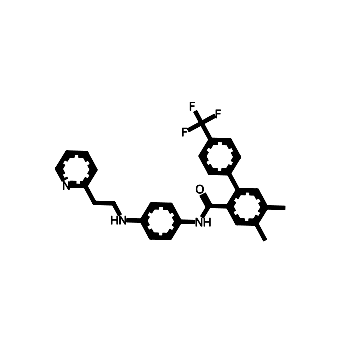 Cc1cc(C(=O)Nc2ccc(NCCc3ccccn3)cc2)c(-c2ccc(C(F)(F)F)cc2)cc1C